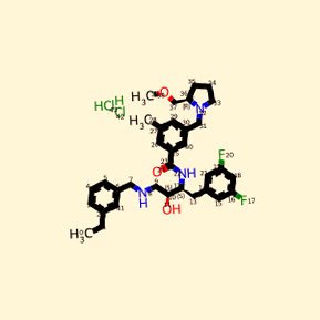 CCc1cccc(CNC[C@H](O)[C@H](Cc2cc(F)cc(F)c2)NC(=O)c2cc(C)cc(CN3CCC[C@@H]3COC)c2)c1.Cl.Cl